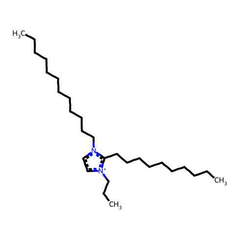 CCCCCCCCCCCCn1cc[n+](CCC)c1CCCCCCCCCC